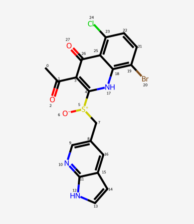 CC(=O)c1c([S+]([O-])Cc2cnc3[nH]ccc3c2)[nH]c2c(Br)ccc(Cl)c2c1=O